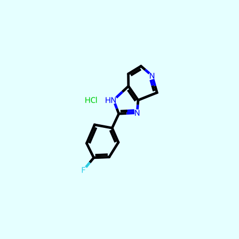 Cl.Fc1ccc(-c2nc3cnccc3[nH]2)cc1